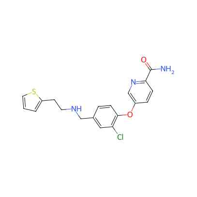 NC(=O)c1ccc(Oc2ccc(CNCCc3cccs3)cc2Cl)cn1